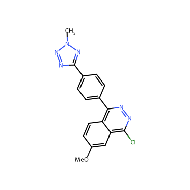 COc1ccc2c(-c3ccc(-c4nnn(C)n4)cc3)nnc(Cl)c2c1